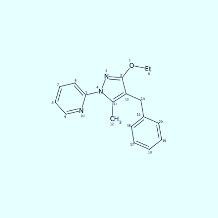 CCOc1nn(-c2ccccn2)c(C)c1Cc1ccccc1